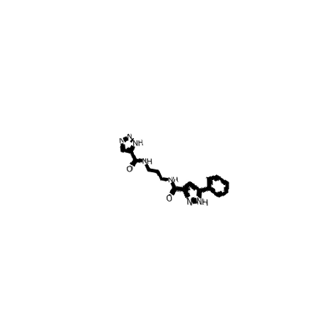 O=C(NCCCNC(=O)c1cnn[nH]1)c1cc(-c2ccccc2)[nH]n1